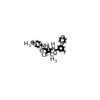 Cc1c(NC(=O)c2cc(F)cc(N3CCOCC3)c2)sc(C(=O)NN2CCN(C)CC2)c1Cl